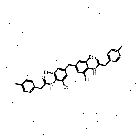 CCc1cc(Cc2cc(CC)c(NC(=O)Cc3ccc(C)cc3)c(CC)c2)cc(CC)c1NC(=O)Cc1ccc(C)cc1